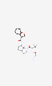 CN[C@@H](C)C(=O)N[C@H](C(=O)N1CCC2CCC(NC(=O)c3coc4ccccc34)C21C)C(C)(C)C